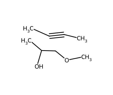 CC#CC.COCC(C)O